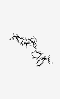 CC1C2Cc3ncc(C(F)(F)F)cc3CN2C(=O)[C@]12CCC(N1CCC(c3cccc(C(=O)O)c3)CC1)C2